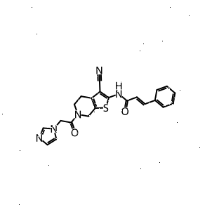 N#Cc1c(NC(=O)C=Cc2ccccc2)sc2c1CCN(C(=O)Cn1ccnc1)C2